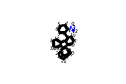 CN(C)c1ccccc1-c1cccc2c1-c1ccccc1C21C2CC3CC(C2)CC1C3